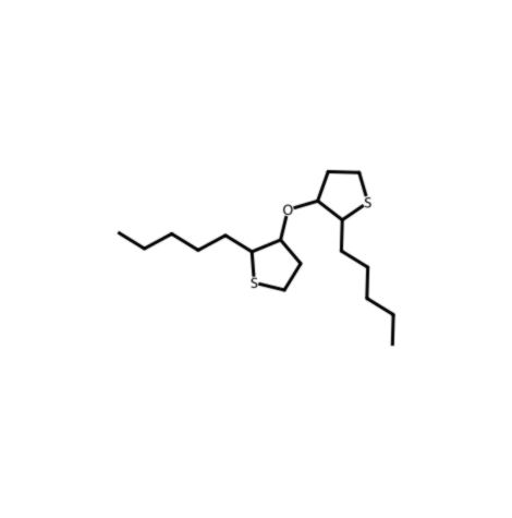 CCCCCC1SCCC1OC1CCSC1CCCCC